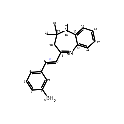 Bc1cccc(/C=C/C2=Nc3ccccc3NC(C)(C)C2)c1